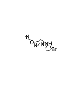 CN(C)CCOc1cc2ccc(Nc3cccc(Br)c3)nc2cn1